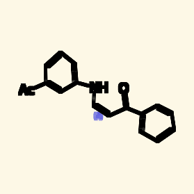 CC(=O)c1cccc(N/C=C\C(=O)c2ccccc2)c1